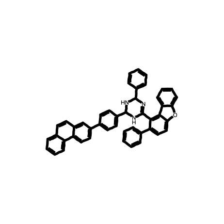 c1ccc(-c2ccc3oc4ccccc4c3c2C2=NC(c3ccccc3)NC(c3ccc(-c4ccc5c(ccc6ccccc65)c4)cc3)N2)cc1